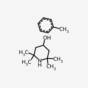 CC1(C)CC(O)CC(C)(C)N1.Cc1ccccc1